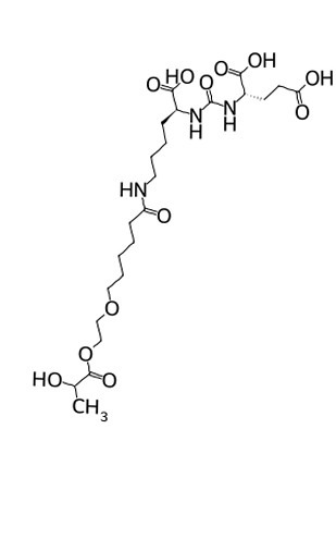 CC(O)C(=O)OCCOCCCCCC(=O)NCCCC[C@H](NC(=O)N[C@@H](CCC(=O)O)C(=O)O)C(=O)O